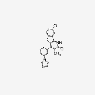 Cc1c(-c2cccc(-n3ccnc3)c2)c2c([nH]c1=O)-c1cc(Cl)ccc1C2